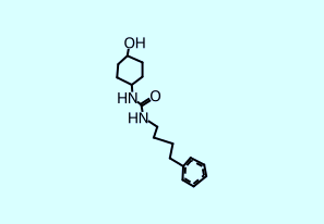 O=C(NCCCCc1ccccc1)NC1CCC(O)CC1